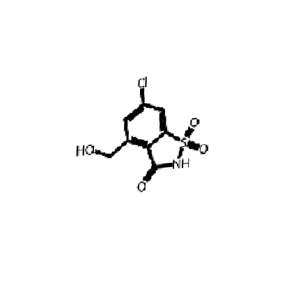 O=C1NS(=O)(=O)c2cc(Cl)cc(CO)c21